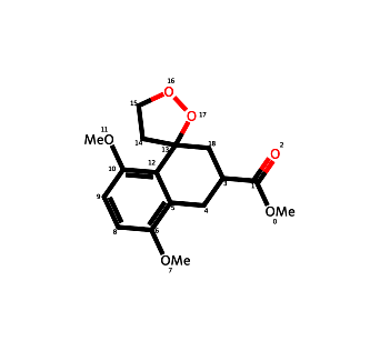 COC(=O)C1Cc2c(OC)ccc(OC)c2C2(CCOO2)C1